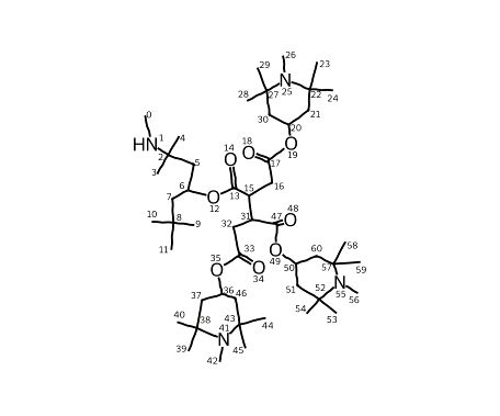 CNC(C)(C)CC(CC(C)(C)C)OC(=O)C(CC(=O)OC1CC(C)(C)N(C)C(C)(C)C1)C(CC(=O)OC1CC(C)(C)N(C)C(C)(C)C1)C(=O)OC1CC(C)(C)N(C)C(C)(C)C1